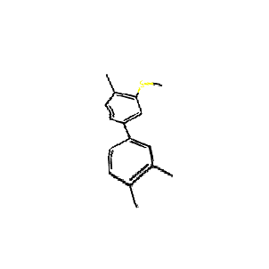 CSc1cc(-c2ccc(C)c(C)c2)ccc1C